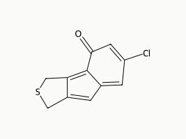 O=C1C=C(Cl)C=C2C=C3CSCC3=C12